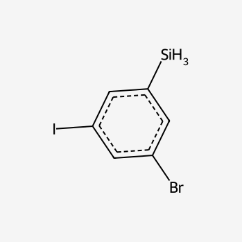 [SiH3]c1cc(Br)cc(I)c1